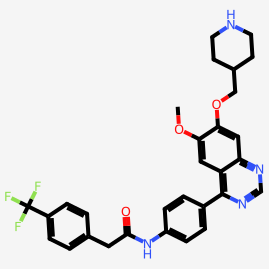 COc1cc2c(-c3ccc(NC(=O)Cc4ccc(C(F)(F)F)cc4)cc3)ncnc2cc1OCC1CCNCC1